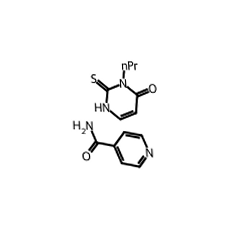 CCCn1c(=O)cc[nH]c1=S.NC(=O)c1ccncc1